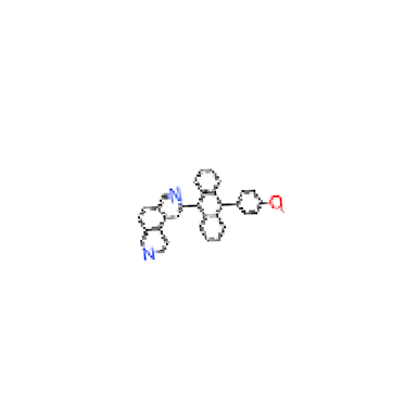 COc1ccc(-c2c3ccccc3c(-c3cc4c(ccc5cnccc54)cn3)c3ccccc23)cc1